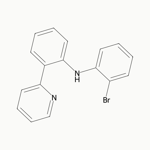 Brc1ccccc1Nc1ccccc1-c1ccccn1